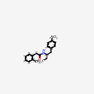 O=C(O)C[C@H](Cc1ccc([N+](=O)[O-])cc1)NC(=O)Cc1ccccc1C(F)(F)F